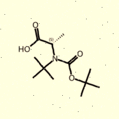 C[C@@H](C(=O)O)N(C(=O)OC(C)(C)C)C(C)(C)C